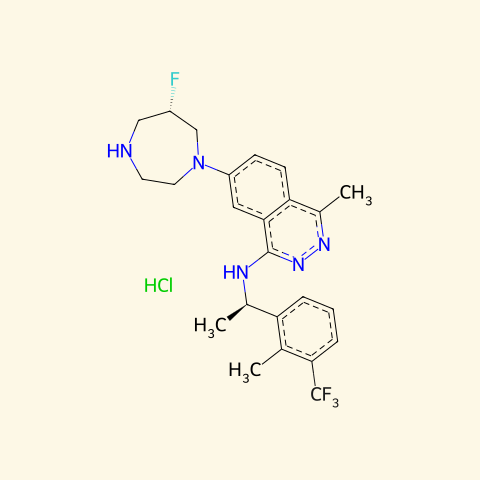 Cc1c([C@@H](C)Nc2nnc(C)c3ccc(N4CCNC[C@H](F)C4)cc23)cccc1C(F)(F)F.Cl